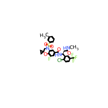 CNC(=O)C[C@H](NC(=O)c1cc(F)c2c(c1)N(S(=O)(=O)c1cccc(C)c1)CC1(CC1)O2)c1cc(C(F)(F)F)ccc1Cl